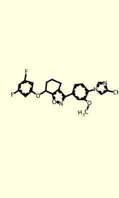 COc1cc(-c2noc3c2CCCC3Oc2cc(F)cc(F)c2)ccc1-n1cnc(C)c1